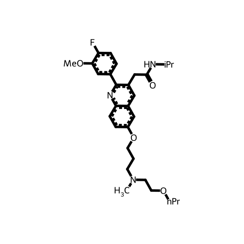 CCCOCCN(C)CCCOc1ccc2nc(-c3ccc(F)c(OC)c3)c(CC(=O)NC(C)C)cc2c1